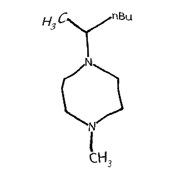 CCCCC(C)N1CCN(C)CC1